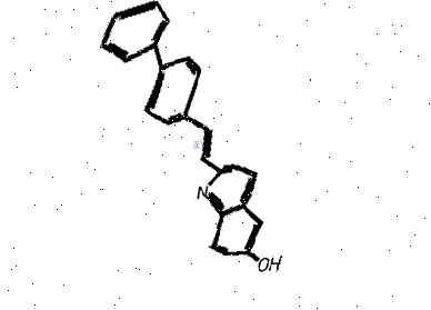 Oc1ccc2nc(/C=C/c3ccc(-c4ccccc4)cc3)ccc2c1